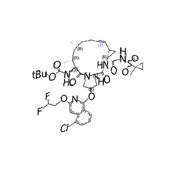 C[C@@H]1CC/C=C\C2C[C@@]2(C(=O)NS(=O)(=O)C2(C)CC2)NC(=O)[C@@H]2C[C@@H](Oc3nc(OCC(F)F)cc4c(Cl)cccc34)CN2C(=O)[C@@H](NC(=O)OC(C)(C)C)[C@H](C)C1